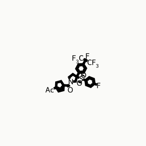 CC(=O)C12CCC(C(=O)N3CCC(c4ccc(C(F)(C(F)(F)F)C(F)(F)F)cc4)(S(=O)(=O)c4ccc(F)cc4)C3)(CC1)C2